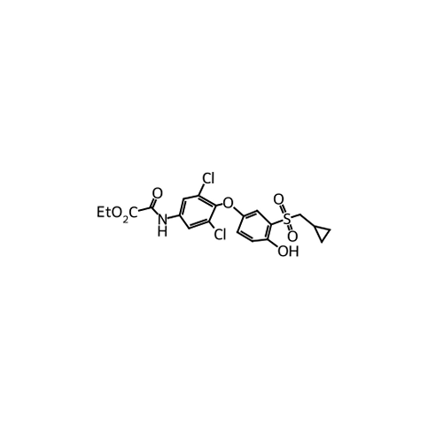 CCOC(=O)C(=O)Nc1cc(Cl)c(Oc2ccc(O)c(S(=O)(=O)CC3CC3)c2)c(Cl)c1